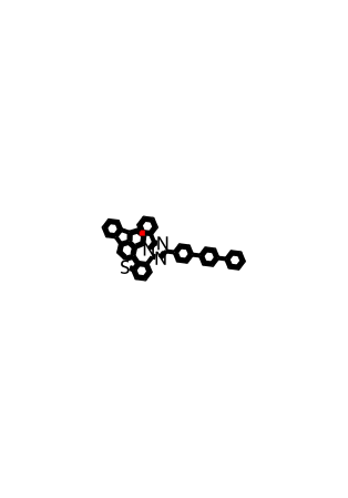 c1ccc(-c2ccc(-c3ccc(-c4nc(-c5ccccc5)nc(-c5cccc6sc7cc8c9c(cccc9c7c56)-c5ccccc5-8)n4)cc3)cc2)cc1